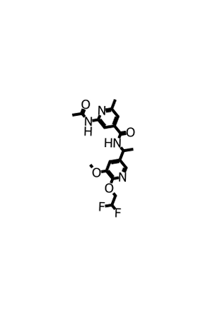 COc1cc(C(C)NC(=O)c2cc(C)nc(NC(C)=O)c2)cnc1OCC(F)F